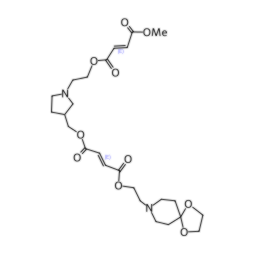 COC(=O)/C=C/C(=O)OCCN1CCC(COC(=O)/C=C/C(=O)OCCN2CCC3(CC2)OCCO3)C1